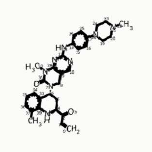 C=CC(=O)C1C[C@@H](N2Cc3cnc(Nc4ccc(N5CCN(C)CC5)cc4)nc3N(C)C2=O)c2cccc(C)c2N1